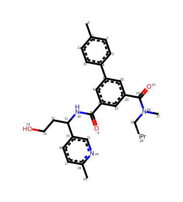 Cc1ccc(-c2cc(C(=O)NC(CCO)c3ccc(C)nc3)cc(C(=O)N(C)CC(C)C)c2)cc1